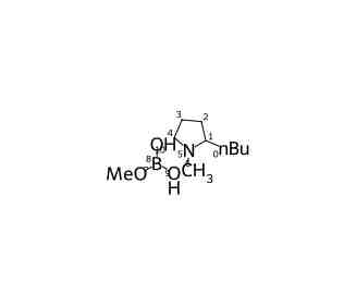 CCCCC1CCCN1C.COB(O)O